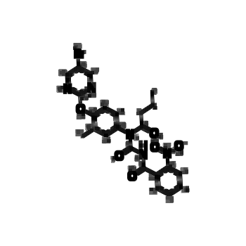 CCCC(=O)N(C(=O)NC(=O)c1ccccc1[N+](=O)[O-])c1ccc(Oc2ncc(Br)cn2)c(C)c1